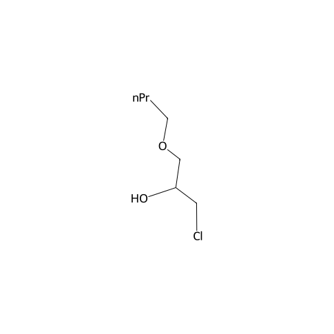 CCCCOCC(O)CCl